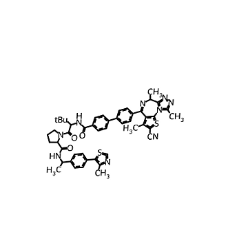 Cc1ncsc1-c1ccc(C(C)NC(=O)C2CCCN2C(=O)C(NC(=O)c2ccc(-c3ccc(C4=NC(C)c5nnc(C)n5-c5sc(C#N)c(C)c54)cc3)cc2)C(C)(C)C)cc1